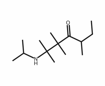 CCC(C)C(=O)C(C)(C)C(C)(C)NC(C)C